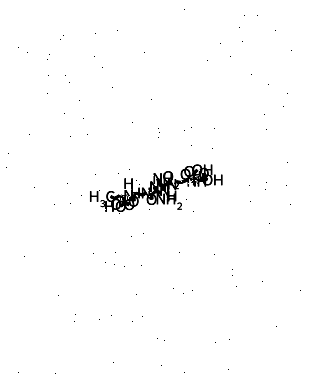 CC(=O)C[C@@H](NC(=O)CCNC(=O)c1nc(N)c(C(=O)NCCC(=O)N[C@H](CC(=O)O)C(=O)O)nc1N)C(=O)O